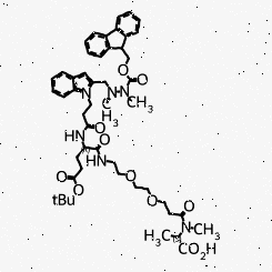 C[C@@H](C(=O)O)N(C)C(=O)CCOCCOCCNC(=O)[C@@H](CCC(=O)OC(C)(C)C)NC(=O)CCn1c(CN(C)N(C)C(=O)OCC2c3ccccc3-c3ccccc32)cc2ccccc21